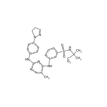 Cc1cnc(Nc2ccc(N3CCC=N3)cc2)nc1Nc1cccc(S(=O)(=O)NC(C)(C)C)c1